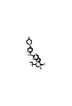 CC[C@H](C)C1CN(C)C(=O)c2cc3cnc(Nc4ccc(N5CCC(C)CC5)cn4)nc3n21